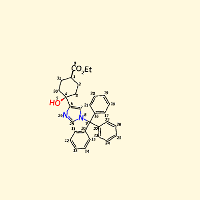 CCOC(=O)[C@H]1CC[C@](O)(c2cn(C(c3ccccc3)(c3ccccc3)c3ccccc3)cn2)CC1